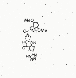 COc1ccc(OC)c2[nH]c(C(=O)N3CCC4(CC3)NC(=O)c3cc(-c5nnn[nH]5)ccc3N4)cc12